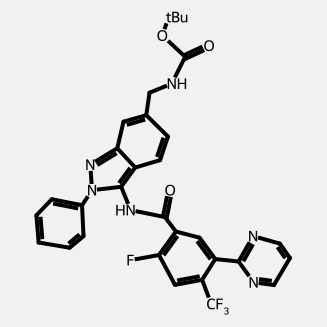 CC(C)(C)OC(=O)NCc1ccc2c(NC(=O)c3cc(-c4ncccn4)c(C(F)(F)F)cc3F)n(-c3ccccc3)nc2c1